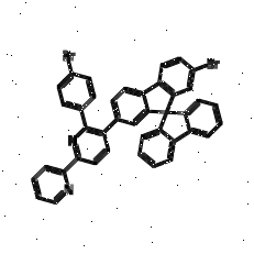 Brc1ccc(-c2nc(-c3ccccn3)ccc2-c2ccc3c(c2)C2(c4ccccc4-c4ccccc42)c2cc(Br)ccc2-3)cc1